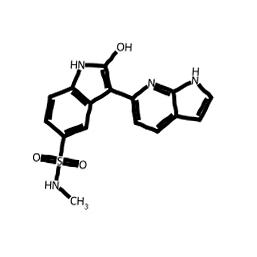 CNS(=O)(=O)c1ccc2[nH]c(O)c(-c3ccc4cc[nH]c4n3)c2c1